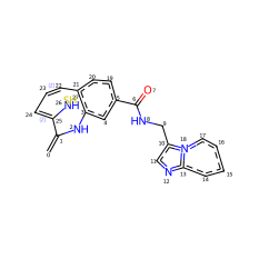 C=C1Nc2cc(C(=O)NCc3cnc4ccccn34)ccc2/C=C\C=C\1NS